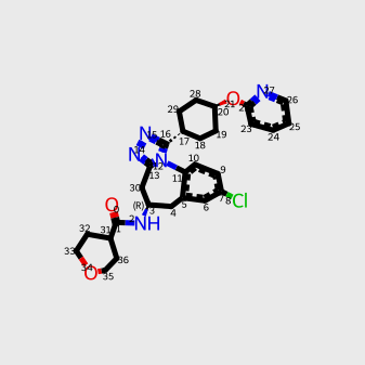 O=C(N[C@@H]1Cc2cc(Cl)ccc2-n2c(nnc2[C@H]2CC[C@H](Oc3ccccn3)CC2)C1)C1CCOCC1